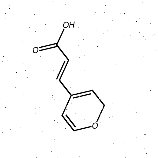 O=C(O)C=CC1=CCOC=C1